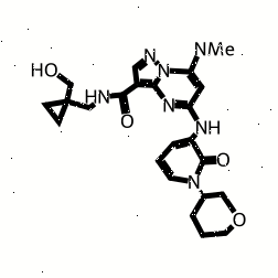 CNc1cc(Nc2cccn([C@H]3CCCOC3)c2=O)nc2c(C(=O)NCC3(CO)CC3)cnn12